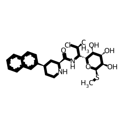 CS[C@H]1O[C@H](C(NC(=O)[C@@H]2C[C@H](c3ccc4ccccc4c3)CCN2)[C@H](C)Cl)[C@H](O)[C@H](O)[C@H]1O